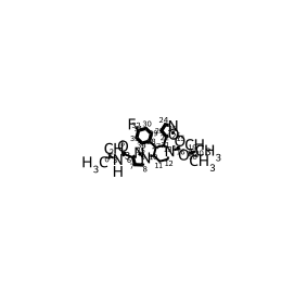 CC(C)NC(=O)c1ccn(C2CCN(C(=O)OC(C)(C)C)C(c3ccno3)C2c2ccc(F)cc2)n1